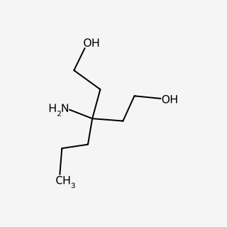 CCCC(N)(CCO)CCO